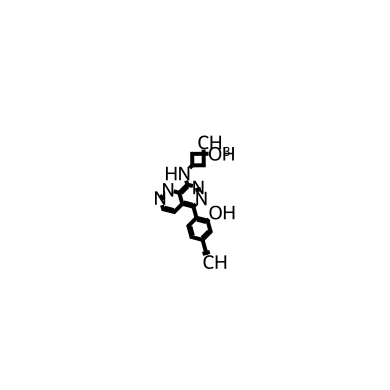 C#Cc1ccc(-c2nnc(NC3CC(C)(O)C3)c3nnccc23)c(O)c1